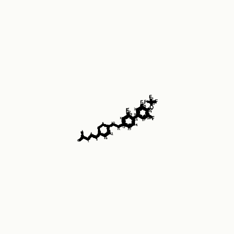 CC(C)CCCC1CCC(CCc2ccc(-c3cc(F)c(OC(F)(F)F)c(F)c3)c(F)c2)CC1